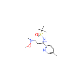 CON(C)CC/C(=N\[S@+]([O-])C(C)(C)C)c1ccc(C)cn1